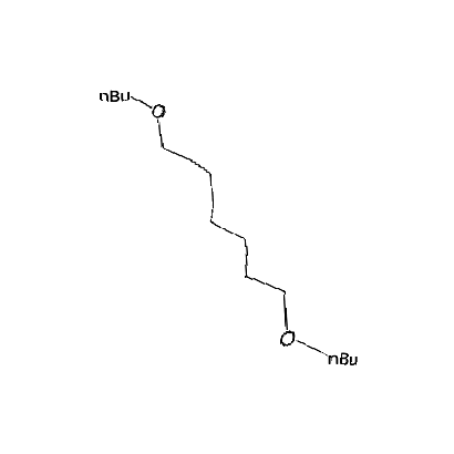 [CH2]CCCOCCCCCCOCCC[CH2]